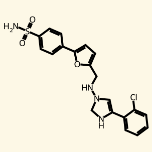 NS(=O)(=O)c1ccc(-c2ccc(CNN3C=C(c4ccccc4Cl)NC3)o2)cc1